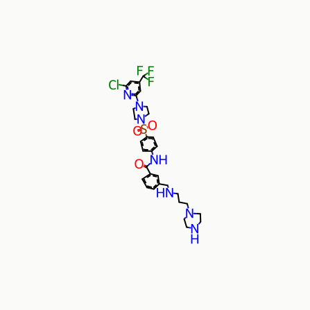 O=C(Nc1ccc(S(=O)(=O)N2CCN(c3cc(C(F)(F)F)cc(Cl)n3)CC2)cc1)c1cccc(CNCCCN2CCNCC2)c1